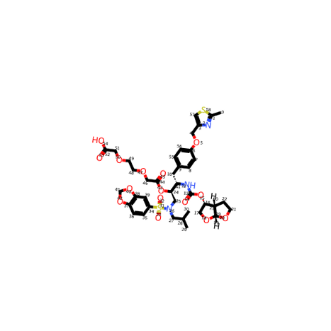 Cc1nc(COc2ccc(C[C@H](NC(=O)O[C@H]3CO[C@H]4OCC[C@H]43)[C@@H](CN(CC(C)C)S(=O)(=O)c3ccc4c(c3)OCO4)OC(=O)COCCOCC(=O)O)cc2)cs1